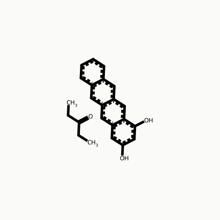 CCC(=O)CC.Oc1cc(O)c2cc3cc4ccccc4cc3cc2c1